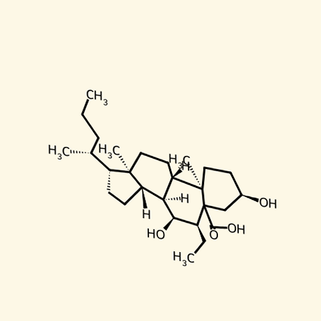 CCC[C@@H](C)[C@H]1CC[C@H]2[C@@H]3[C@H](O)[C@H](CC)C4(C(=O)O)C[C@H](O)CC[C@]4(C)[C@H]3CC[C@]12C